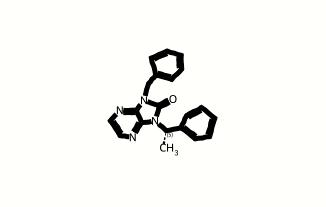 C[C@@H](c1ccccc1)n1c(=O)n(Cc2ccccc2)c2nccnc21